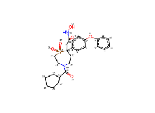 O=C(CC1(c2ccc(Oc3ccccc3)cc2)CCN(C(=O)C2CCCCC2)CCS1(=O)=O)NO